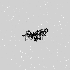 C=CCNC(=O)C(=O)C(CCC)NC(=O)[C@@H]1C2[C@H](CN1C(=O)[C@@H](NC(=O)NC(C(=O)c1ccccc1)C(C)(C)C)C(C)(C)C)C2(C)C